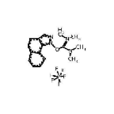 CN(C)C(On1ncc2ccc3ccccc3c21)=[N+](C)C.F[P-](F)(F)(F)(F)F